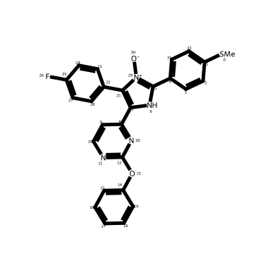 CSc1ccc(-c2[nH]c(-c3ccnc(Oc4ccccc4)n3)c(-c3ccc(F)cc3)[n+]2[O-])cc1